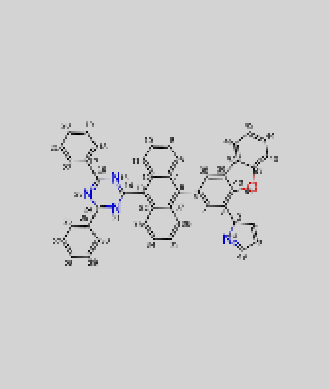 C1=CC(c2cc(-c3c4ccccc4c(-c4nc(-c5ccccc5)nc(-c5ccccc5)n4)c4ccccc34)cc3c2oc2ccccc23)N=C1